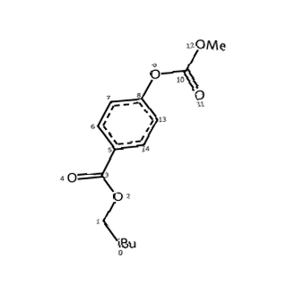 CCC(C)COC(=O)c1ccc(OC(=O)OC)cc1